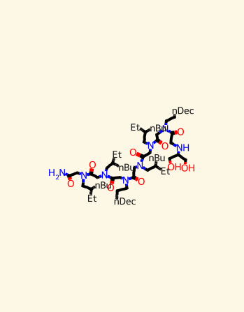 CCCCCCCCCCCCN(CC(=O)N(CC(=O)N(CC(=O)N(CCCCCCCCCCCC)CC(=O)N(CC(=O)N(CC(N)=O)CC(CC)CCCC)CC(CC)CCCC)CC(CC)CCCC)CC(CC)CCCC)C(=O)CNC(CO)CO